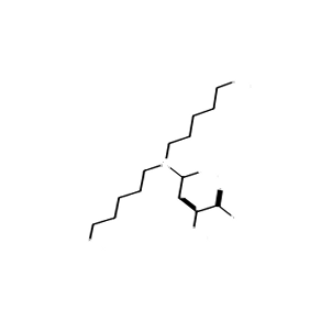 CCCCCCN(CCCCCC)C(C)C=C(C)C(N)=O